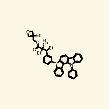 CCC(c1cccc(-n2c3ccccc3c3c2ccc2c4ccccc4n(-c4ccccc4)c23)c1)C(C)(CC)C(=O)OCC1(CC)COC1